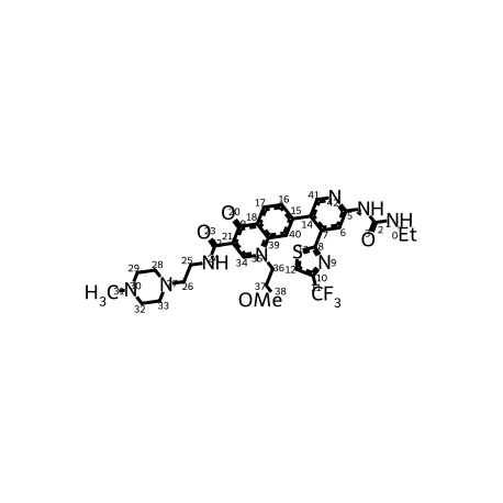 CCNC(=O)Nc1cc(-c2nc(C(F)(F)F)cs2)c(-c2ccc3c(=O)c(C(=O)NCCN4CCN(C)CC4)cn(CCOC)c3c2)cn1